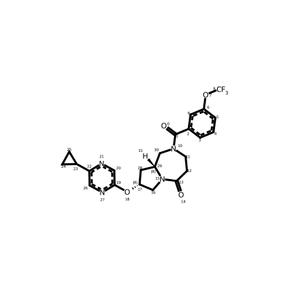 O=C(c1cccc(OC(F)(F)F)c1)N1CCC(=O)N2C[C@H](Oc3cnc(C4CC4)cn3)C[C@@H]2C1